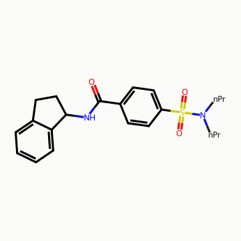 CCCN(CCC)S(=O)(=O)c1ccc(C(=O)NC2CCc3ccccc32)cc1